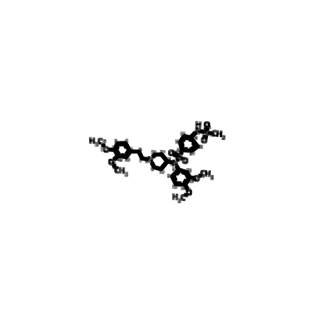 COc1ccc(CCN2CCC(N(c3ccc(OC)c(OC)c3)S(=O)(=O)c3ccc(NS(C)(=O)=O)cc3)CC2)cc1OC